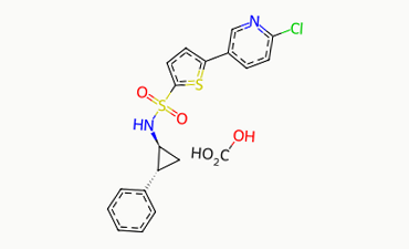 O=C(O)O.O=S(=O)(N[C@H]1C[C@@H]1c1ccccc1)c1ccc(-c2ccc(Cl)nc2)s1